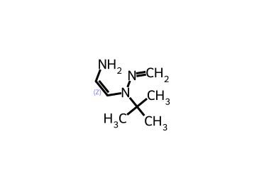 C=NN(/C=C\N)C(C)(C)C